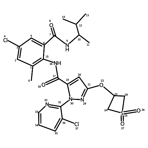 Cc1cc(Cl)cc(C(=O)NC(C)C(C)C)c1NC(=O)c1cc(OC2CS(=O)(=O)C2)nn1-c1ncccc1Cl